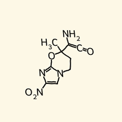 CC1(C(N)=C=O)CCn2cc([N+](=O)[O-])nc2O1